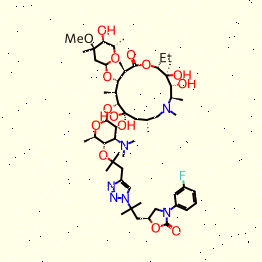 CC[C@H]1OC(=O)[C@H](C)[C@@H](O[C@H]2C[C@@](C)(OC)[C@@H](O)[C@H](C)O2)[C@H](C)[C@@H](O[C@@H]2O[C@H](C)[C@@H](OC(C)(C)Cc3cn(C(C)(C)C[C@H]4CN(c5cccc(F)c5)C(=O)O4)nn3)[C@H](N(C)C)[C@H]2O)[C@](C)(O)C[C@@H](C)CN(C)[C@H](C)[C@@H](O)[C@]1(C)O